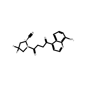 N#C[C@@H]1CC(F)(F)CN1C(=O)CCC(=O)c1ccnc2c(N)cccc12